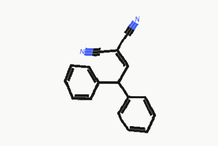 N#CC(C#N)=CC(c1ccccc1)c1ccccc1